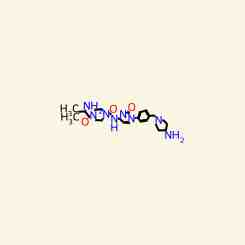 CC(C)C(N)C(=O)N1CCN(C(=O)Nc2ccn(-c3ccc(CN4CCC(N)CC4)cc3)c(=O)n2)CC1